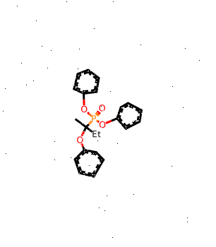 CCC(C)(Oc1ccccc1)P(=O)(Oc1ccccc1)Oc1ccccc1